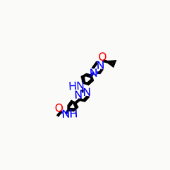 CC(=O)Nc1ccc(-c2ccnc(Nc3ccc(N4CCN(C(=O)C5CC5)CC4)cc3)n2)cc1